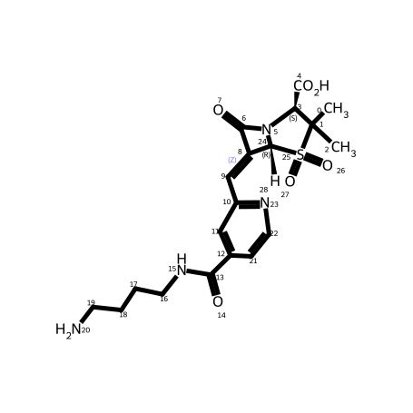 CC1(C)[C@H](C(=O)O)N2C(=O)/C(=C/c3cc(C(=O)NCCCCN)ccn3)[C@H]2S1(=O)=O